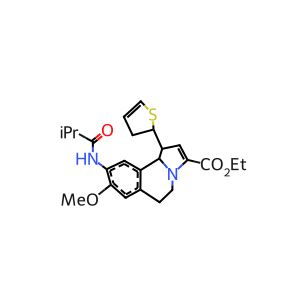 CCOC(=O)C1=CC(C2CC=CS2)C2c3cc(NC(=O)C(C)C)c(OC)cc3CCN12